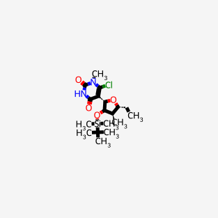 CC[C@H]1O[C@@H](c2c(Cl)n(C)c(=O)[nH]c2=O)C(O[Si](C)(C)C(C)(C)C)[C@H]1C